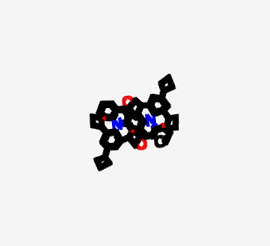 O=c1c2ccccc2n(-c2c(C3CCC3)cc(C3CCC3)cc2C2CCC2)c2cc3c(=O)c4ccccc4n(-c4c(C5CCC5)cc(C5CCC5)cc4C4CCC4)c3cc12